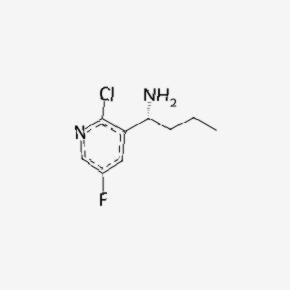 CCC[C@@H](N)c1cc(F)cnc1Cl